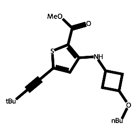 CCCCOC1CC(Nc2cc(C#CC(C)(C)C)sc2C(=O)OC)C1